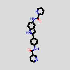 O=C(Nc1ccc(-c2cc3cc(NC(=O)c4ccccn4)ccc3[nH]2)cc1)c1cccnc1